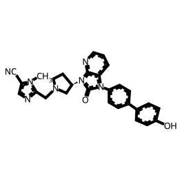 Cn1c(C#N)cnc1CN1CC[C@H](n2c(=O)n(-c3ccc(-c4ccc(O)cc4)cc3)c3cccnc32)C1